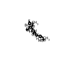 CCOC(=O)C1=C(CN2CCN3C(=O)N(c4nc(-c5ccc(CC(C)(C)C(=O)O)cc5)cs4)C[C@@H]3C2)NC(c2nccs2)=N[C@H]1c1ccc(F)cc1Br